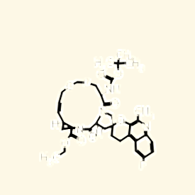 CCOC(=O)C12C[C@H]1/C=C\CCCCC[C@H](NC(=O)OC(C)(C)C)C(=O)N1C[C@@]3(CCc4c(c(C)nc5ccc(F)cc45)O3)C[C@H]1C(=O)N2